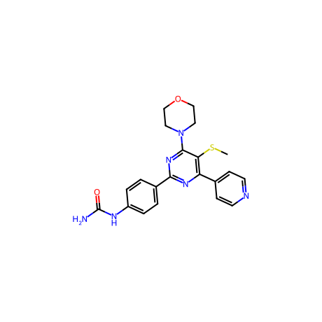 CSc1c(-c2ccncc2)nc(-c2ccc(NC(N)=O)cc2)nc1N1CCOCC1